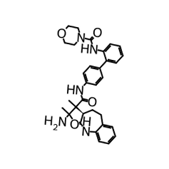 CC(C)(N)C(C)(C(=O)Nc1ccc(-c2ccccc2NC(=O)N2CCOCC2)cc1)[C@H]1CCc2ccccc2NC1=O